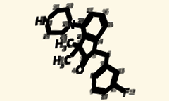 CC1(C)C(=O)C(Cc2cccc(F)c2)c2cccc(N3CCNCC3)c21